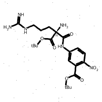 CC(C)(C)OC(=O)c1cc(NC(=O)[C@@](N)(CCCNC(=N)N)C(=O)OC(C)(C)C)ccc1[N+](=O)[O-]